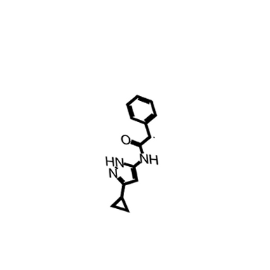 O=C([CH]c1ccccc1)Nc1cc(C2CC2)n[nH]1